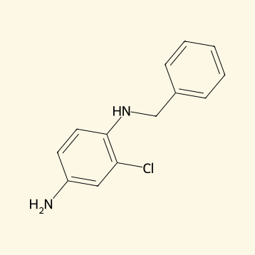 Nc1ccc(NCc2ccccc2)c(Cl)c1